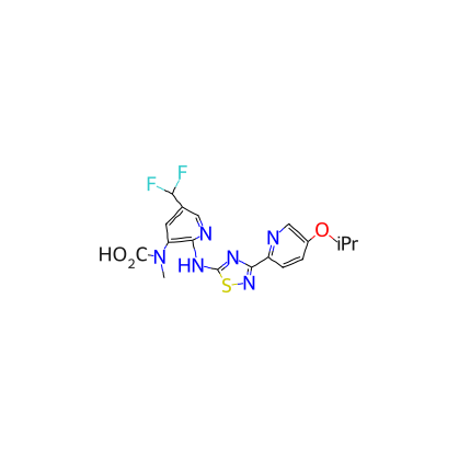 CC(C)Oc1ccc(-c2nsc(Nc3ncc(C(F)F)cc3N(C)C(=O)O)n2)nc1